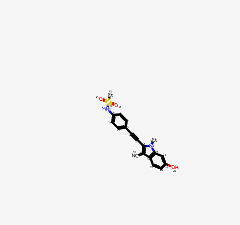 CCn1c(C#Cc2ccc(NS(=O)(=O)CC)cc2)c(C#N)c2ccc(O)cc21